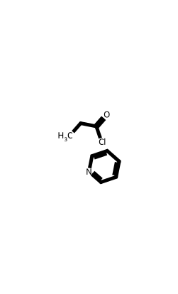 CCC(=O)Cl.c1ccncc1